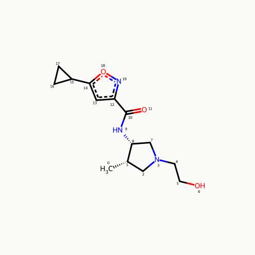 C[C@H]1CN(CCO)C[C@H]1NC(=O)c1cc(C2CC2)on1